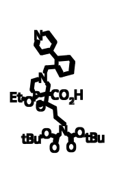 CCOP1(=O)CCN(Cc2ccccc2-c2ccncc2)CC1(CCCCN(C(=O)OC(C)(C)C)C(=O)OC(C)(C)C)C(=O)O